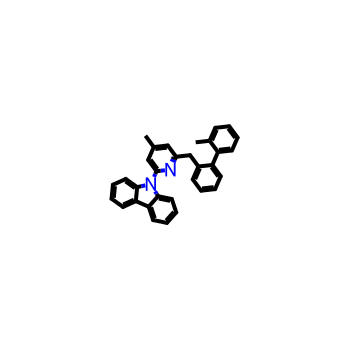 Cc1cc(Cc2ccccc2-c2ccccc2C)nc(-n2c3ccccc3c3ccccc32)c1